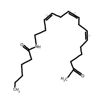 CCCCCC(=O)NCC/C=C\C/C=C\C/C=C\CCCC(C)=O